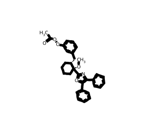 CO[C@]1(c2nc(-c3ccccc3)c(-c3ccccc3)o2)CCCC[C@@H]1Cc1cccc(OOC(C)=O)c1